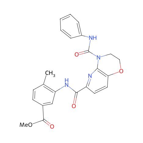 COC(=O)c1ccc(C)c(NC(=O)c2ccc3c(n2)N(C(=O)Nc2ccccc2)CCO3)c1